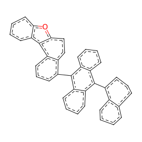 c1ccc2c(-c3c4ccccc4c(-c4cccc5c4ccc4oc6ccccc6c45)c4ccccc34)cccc2c1